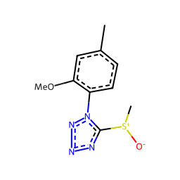 COc1cc(C)ccc1-n1nnnc1[S+](C)[O-]